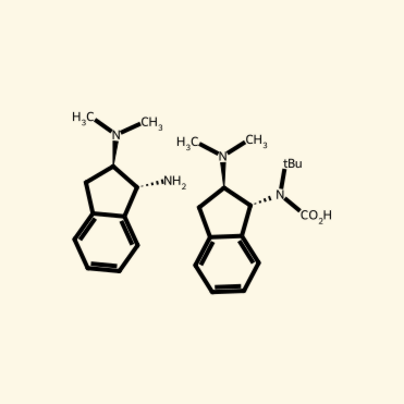 CN(C)[C@@H]1Cc2ccccc2[C@H]1N.CN(C)[C@@H]1Cc2ccccc2[C@H]1N(C(=O)O)C(C)(C)C